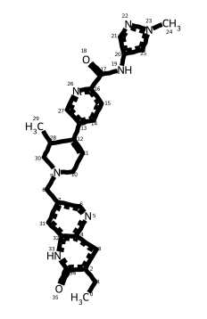 CCc1cc2ncc(CN3CC=C(c4ccc(C(=O)Nc5cnn(C)c5)nc4)C(C)C3)cc2[nH]c1=O